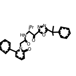 CC(C)[C@@H](NC(=O)Cn1c(-c2ccccc2)cccc1=O)C(=O)c1nnc(C(C)(C)c2ccccc2)o1